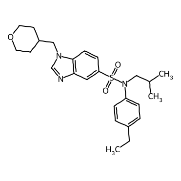 CCc1ccc(N(CC(C)C)S(=O)(=O)c2ccc3c(c2)ncn3CC2CCOCC2)cc1